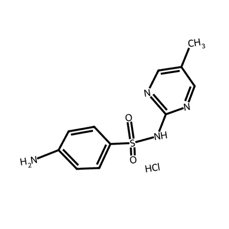 Cc1cnc(NS(=O)(=O)c2ccc(N)cc2)nc1.Cl